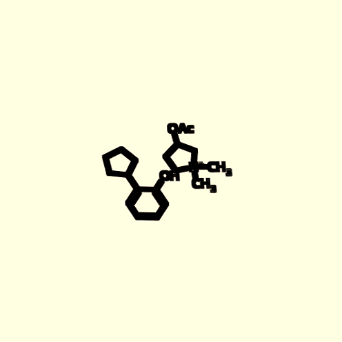 CC(=O)OC1CC[N+](C)(C)C1.Oc1ccccc1C1CCCC1